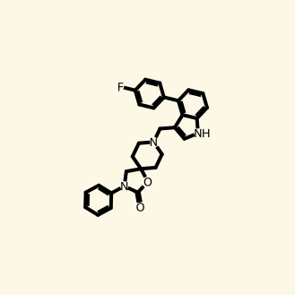 O=C1OC2(CCN(Cc3c[nH]c4cccc(-c5ccc(F)cc5)c34)CC2)CN1c1ccccc1